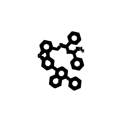 N/C(=N\C(=N/Cc1cccc2oc3ccc(-c4ccc(-c5ccccc5)c5ccccc45)cc3c12)c1ccccc1)c1ccccc1